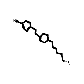 CCCCCCCC1CC=C(CCc2ccc(C#N)cc2)CC1